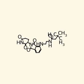 CC(C)(C)CC(=O)NCCNc1cccc2c1C(=O)N(C1CCC(=O)NC1=O)C2=O